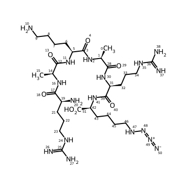 C[C@H](NC(=O)[C@H](CCCCN)NC(=O)[C@H](C)NC(=O)[C@@H](N)CCCNC(=N)N)C(=O)N[C@@H](CCCNC(=N)N)C(=O)N[C@@H](CCCCNN=[N+]=[N-])C(=O)O